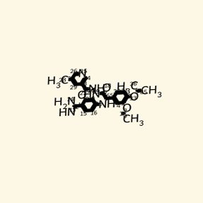 CCOc1cc(C(Nc2ccc(C(=N)N)cc2)C(=O)NNC(=O)c2cncc(C)c2)ccc1OC(C)C